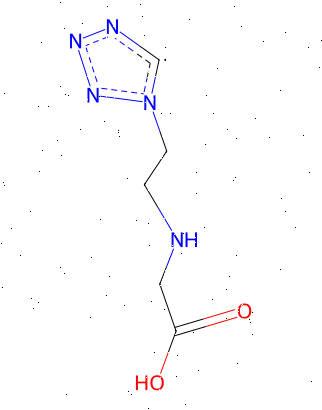 O=C(O)CNCCn1[c]nnn1